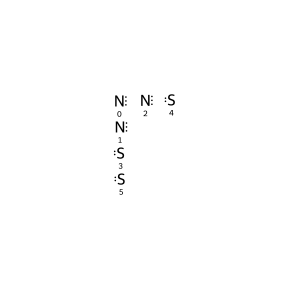 [N].[N].[N].[S].[S].[S]